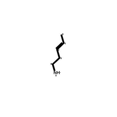 CC=CCC[NH]